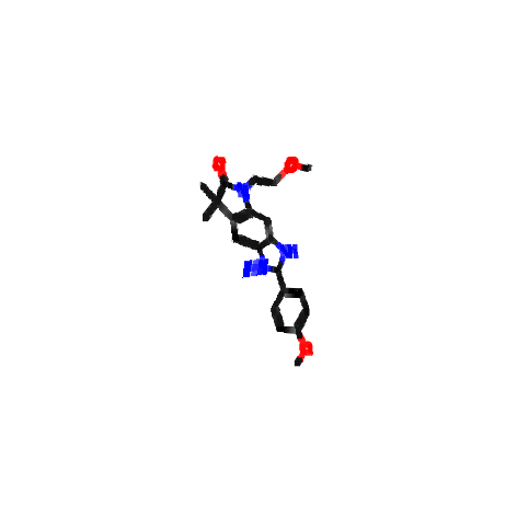 COCCN1C(=O)C(C)(C)c2cc3c(cc21)NC(c1ccc(OC)cc1)N3